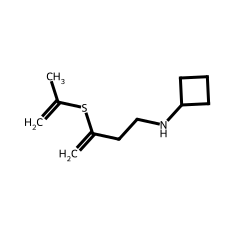 C=C(C)SC(=C)CCNC1CCC1